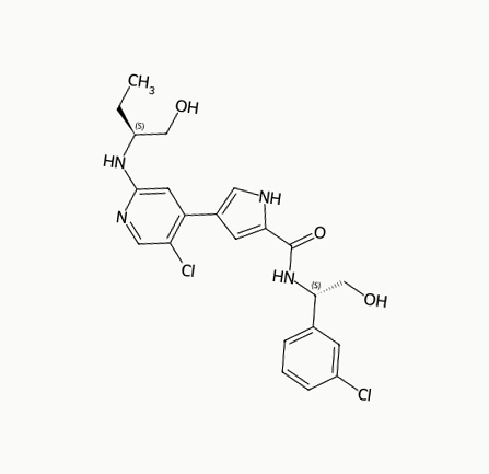 CC[C@@H](CO)Nc1cc(-c2c[nH]c(C(=O)N[C@H](CO)c3cccc(Cl)c3)c2)c(Cl)cn1